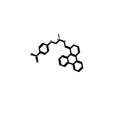 C[C@@H](COc1ccc([N+](=O)[O-])cc1)OC=C1CC=Cc2c1c1ccccc1c1ccccc21